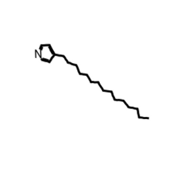 CCCCCCCCCCCCCCCc1ccncc1